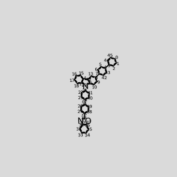 c1ccc(-c2ccc(-c3ccc4c(c3)c3ccccc3n4-c3ccc(-c4ccc(-c5nc6ccccc6o5)cc4)cc3)cc2)cc1